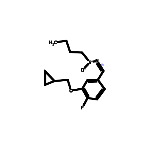 CCCC[S+]([O-])/N=C\c1ccc(F)c(OCC2CC2)c1